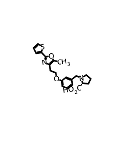 Cc1oc(-c2cccs2)nc1CCOc1cccc(CN2CCC[C@H]2C(=O)O)c1